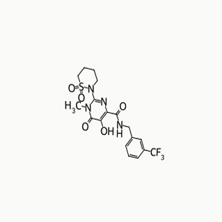 Cn1c(N2CCCCS2(=O)=O)nc(C(=O)NCc2cccc(C(F)(F)F)c2)c(O)c1=O